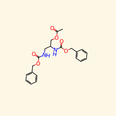 CC(=O)OCC(CNC(=O)OCc1ccccc1)NC(=O)OCc1ccccc1